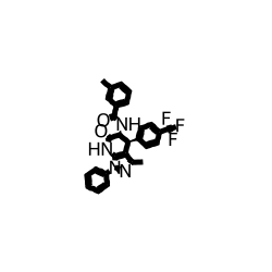 Cc1cccc(C(=O)N[C@H]2C(=O)Nc3c(c(C)nn3-c3ccccc3)[C@@H]2c2ccc(C(F)(F)F)cc2)c1